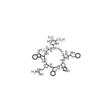 C[C@@H]1NC(=O)[C@H](Cc2c[nH]c3ccccc23)NC(=O)[C@H](CCCNC(=N)N)NC(=O)[C@@H](Cc2ccccc2)NC(=O)[C@H](Cc2c[nH]cn2)NC(=O)[C@@H](NC(=O)[C@H](N)Cc2ccccc2)CSSC[C@H](C(=O)N[C@H](C(=O)O)[C@@H](C)O)NC1=O